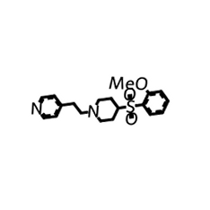 COc1ccccc1S(=O)(=O)C1CCN(CCc2ccncc2)CC1